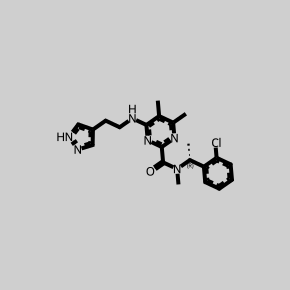 Cc1nc(C(=O)N(C)[C@H](C)c2ccccc2Cl)nc(NCCc2cn[nH]c2)c1C